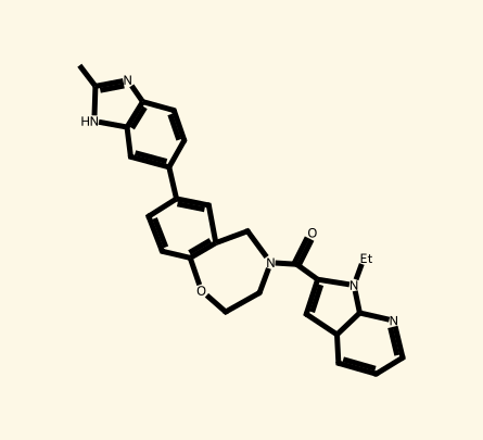 CCN1C(C(=O)N2CCOc3ccc(-c4ccc5nc(C)[nH]c5c4)cc3C2)=CC2C=CC=NC21